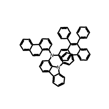 c1ccc(-c2c(-c3ccccc3)c3cc(N(c4cccc5c4ccc4ccccc45)c4cccc5c6ccccc6n(-c6ccccc6)c45)ccc3c3ccccc23)cc1